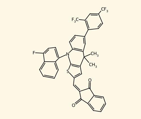 CC1(C)c2cc(-c3ccc(C(F)(F)F)cc3C(F)(F)F)ccc2N(c2ccc(F)c3ccccc23)c2sc(C=C3C(=O)c4ccccc4C3=O)cc21